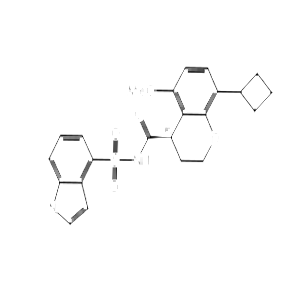 COc1ccc(C2CCC2)c2c1[C@H](C(=O)NS(=O)(=O)c1cccc3[nH]ccc13)CCO2